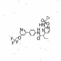 CCC(C(=O)Nc1ccc(-c2cncc(OCC(F)(F)F)c2)cc1)c1ccnc(NS(=O)(=O)C2CC2)n1